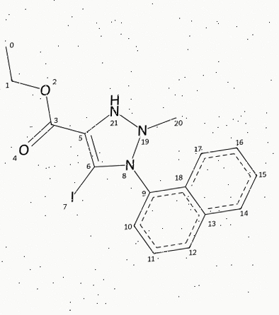 CCOC(=O)C1=C(I)N(c2cccc3ccccc23)N(C)N1